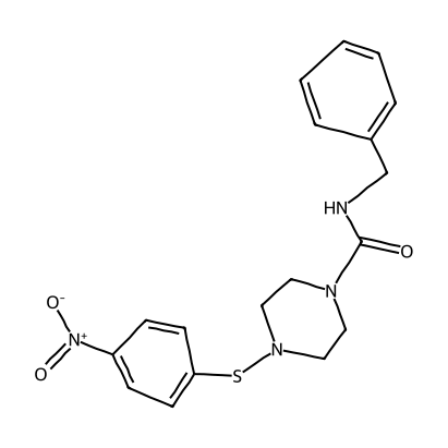 O=C(NCc1ccccc1)N1CCN(Sc2ccc([N+](=O)[O-])cc2)CC1